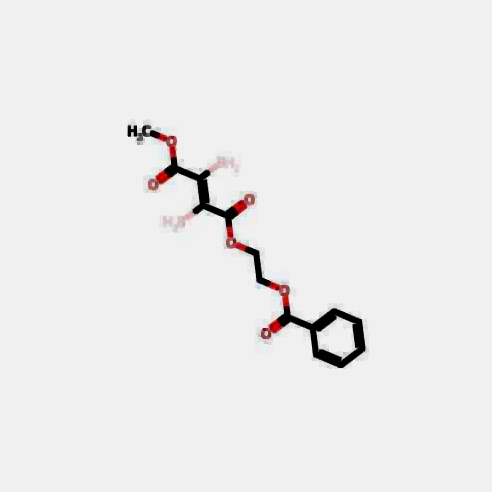 B/C(C(=O)OC)=C(/B)C(=O)OCCOC(=O)c1ccccc1